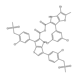 CCc1c(C)oc2c(-c3cc(Cl)cc(Cl)c3)c(C(=O)OC(=O)c3[nH]c4c(-c5ccc(CS(C)(=O)=O)c(Cl)c5)csc4c3-c3ccc(CS(C)(=O)=O)c(Cl)c3)[nH]c12